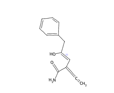 C=C=C(/C=C(\O)Cc1ccccc1)C(N)=O